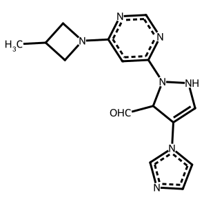 CC1CN(c2cc(N3NC=C(n4ccnc4)C3C=O)ncn2)C1